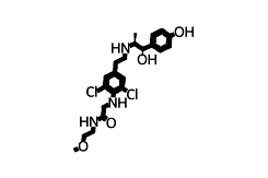 COCCNC(=O)CNc1c(Cl)cc(CCN[C@@H](C)[C@@H](O)c2ccc(O)cc2)cc1Cl